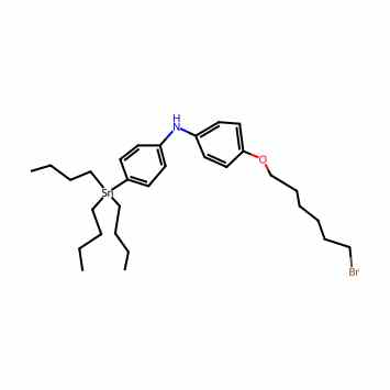 CCC[CH2][Sn]([CH2]CCC)([CH2]CCC)[c]1ccc(Nc2ccc(OCCCCCCBr)cc2)cc1